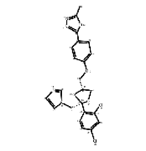 Cc1nnc(-c2ccc(OC[C@@H]3CO[C@@](Cn4ccnc4)(c4ccc(Cl)cc4Cl)O3)cc2)o1